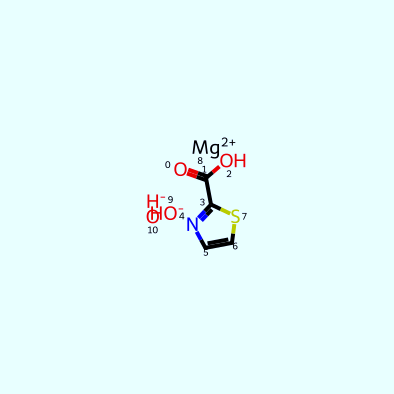 O=C(O)c1nccs1.[Mg+2].[OH-].[OH-]